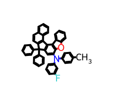 Cc1ccc(N(c2cccc(F)c2)c2cc3c(c4c2oc2ccccc24)-c2c(ccc4ccccc24)C3(c2ccccc2)c2ccccc2)cc1